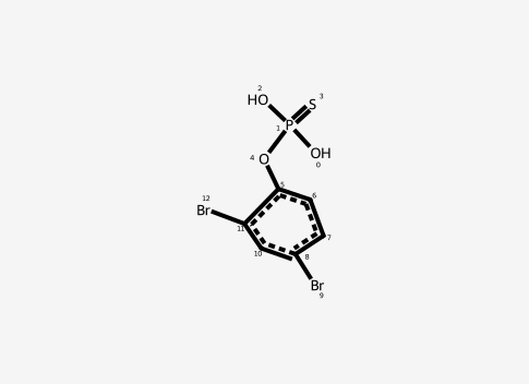 OP(O)(=S)Oc1ccc(Br)cc1Br